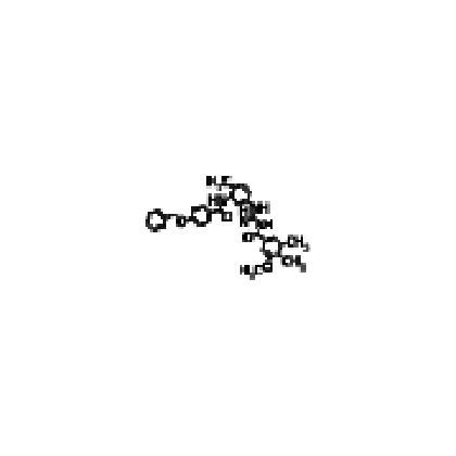 COc1cc(C(=O)NC(=N)Nc2ccc(C)c(NC(=O)c3ccc(OCc4ccccc4)cc3)c2)cc(C)c1C